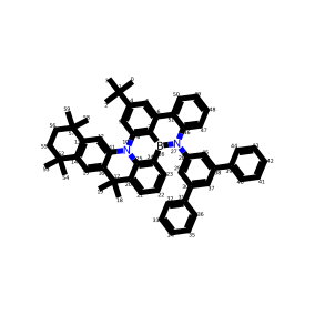 CC(C)(C)c1cc2c3c(c1)N1c4cc5c(cc4C(C)(C)c4cccc(c41)B3N(c1cc(-c3ccccc3)cc(-c3ccccc3)c1)c1ccccc1-2)C(C)(C)CCC5(C)C